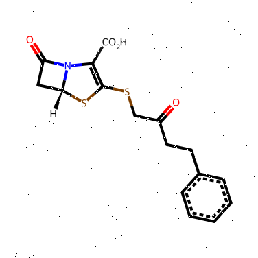 O=C(CCc1ccccc1)CSC1=C(C(=O)O)N2C(=O)C[C@H]2S1